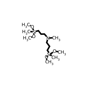 CO[Si](C)(CCCN(C)CCC[Si](C)(OC)OC)OC